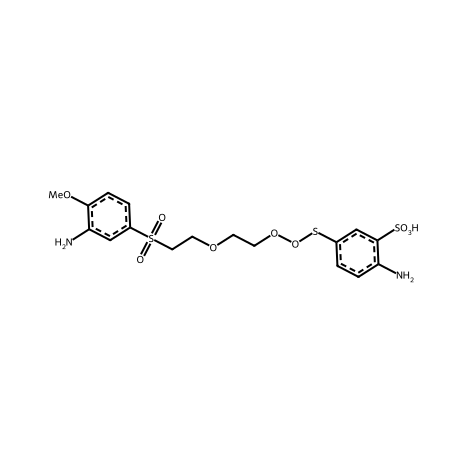 COc1ccc(S(=O)(=O)CCOCCOOSc2ccc(N)c(S(=O)(=O)O)c2)cc1N